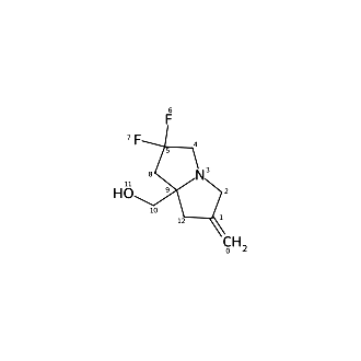 C=C1CN2CC(F)(F)CC2(CO)C1